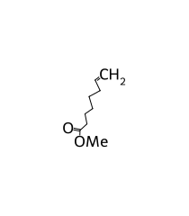 C=CCCCCCC(=O)OC